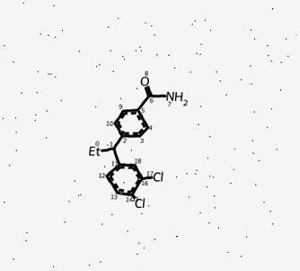 CCC(c1ccc(C(N)=O)cc1)c1ccc(Cl)c(Cl)c1